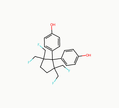 Oc1ccc(C2(c3ccc(O)cc3)C(CF)(CF)CCC2(CF)CF)cc1